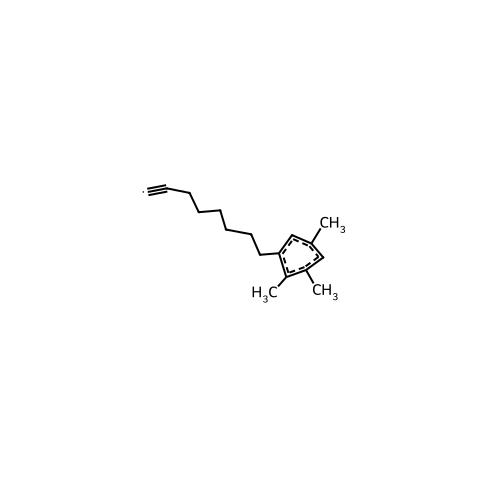 [C]#CCCCCCCc1cc(C)cc(C)c1C